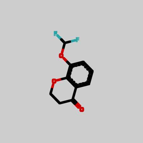 O=C1CCOc2c(OC(F)F)cccc21